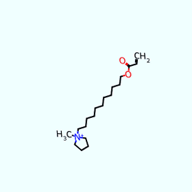 C=CC(=O)OCCCCCCCCCCC[N+]1(C)CCCC1